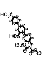 CC(C)(C)OC(=O)N(Cc1cnc(N2CCN(c3ncc(C(=O)O)cn3)CC2CO)nc1)C(=O)OC(C)(C)C